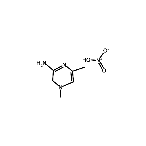 CC1=CN(C)CC(N)=N1.O=[N+]([O-])O